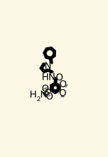 COc1cc(S(N)(=O)=O)cc(C(=O)NCC2CCCN2CC2CCCCCC2)c1OC